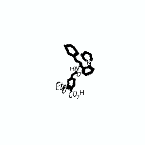 CCOc1cc(CC(=O)NC(CCC2CCCCC2)c2ccccc2N2CCCCC2)ccc1C(=O)O